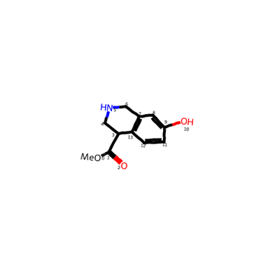 COC(=O)C1CNCc2cc(O)ccc21